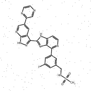 CS(=O)(=O)NCc1cc(F)cc(-c2nccc3[nH]c(-c4n[nH]c5ncc(-c6cnccn6)cc45)nc23)c1